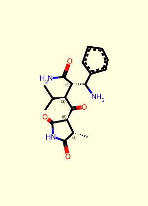 CC(C)[C@H](C(=O)[C@@H]1C(=O)NC(=O)[C@H]1C)[C@H](C(N)=O)C(N)c1ccccc1